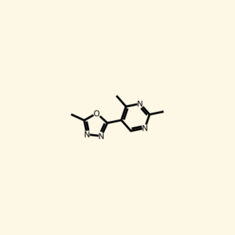 Cc1ncc(-c2nnc(C)o2)c(C)n1